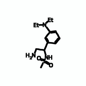 CCN(CC)c1cccc(C(CN)NS(C)(=O)=O)c1